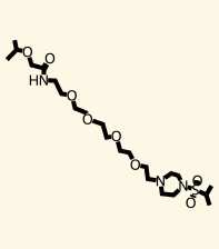 CC(C)OCC(=O)NCCOCCOCCOCCOCCN1CCN(S(=O)(=O)C(C)C)CC1